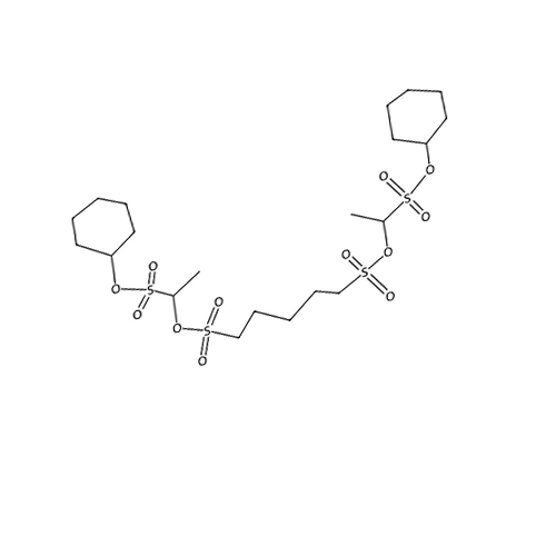 CC(OS(=O)(=O)CCCCCS(=O)(=O)OC(C)S(=O)(=O)OC1CCCCC1)S(=O)(=O)OC1CCCCC1